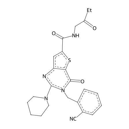 CCC(=O)CNC(=O)c1cc2nc(N3CCCCC3)n(Cc3ccccc3C#N)c(=O)c2s1